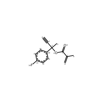 C#CC(C)(OC(=O)C(=C)C)c1ccc(F)cc1